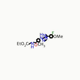 CCOC(=O)CCNCC(=O)c1ccc(Nc2nccn3c(-c4ccc(OC)c(F)c4)cnc23)cc1C